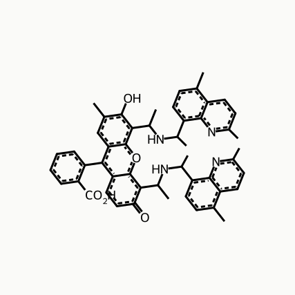 Cc1ccc2c(C)ccc(C(C)NC(C)c3c4oc5c(C(C)NC(C)c6ccc(C)c7ccc(C)nc67)c(O)c(C)cc5c(-c5ccccc5C(=O)O)c-4ccc3=O)c2n1